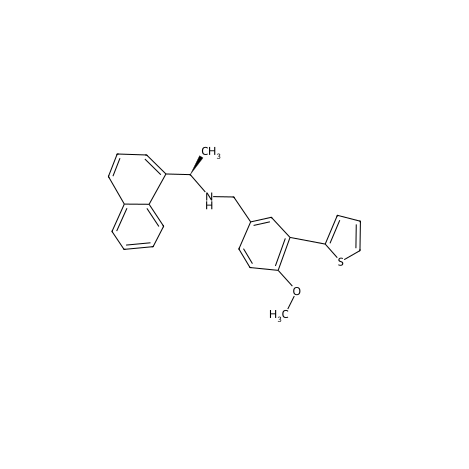 COc1ccc(CN[C@H](C)c2cccc3ccccc23)cc1-c1cccs1